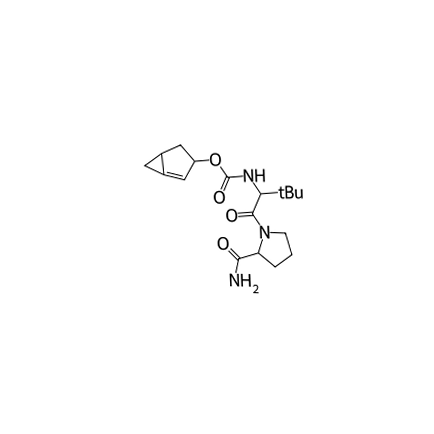 CC(C)(C)C(NC(=O)OC1C=C2CC2C1)C(=O)N1CCCC1C(N)=O